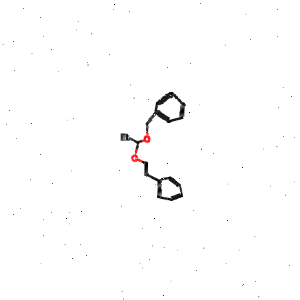 CCC(OC=Cc1ccccc1)OCc1ccccc1